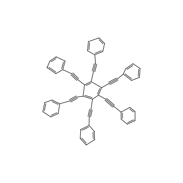 C(#Cc1c(C#Cc2ccccc2)c(C#Cc2ccccc2)c(C#Cc2ccccc2)c(C#Cc2ccccc2)c1C#Cc1ccccc1)c1ccccc1